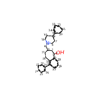 OC1CC(CN2CCC(c3ccccc3)CC2)CCc2c(-c3ccccc3)cccc21